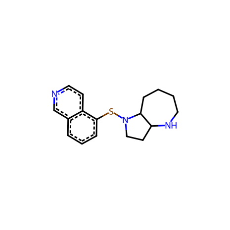 c1cc(SN2CCC3NCCCCC32)c2ccncc2c1